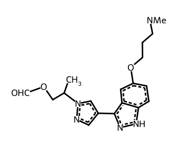 CNCCCOc1ccc2[nH]nc(-c3cnn(C(C)COC=O)c3)c2c1